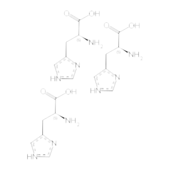 N[C@@H](Cc1c[nH]cn1)C(=O)O.N[C@@H](Cc1c[nH]cn1)C(=O)O.N[C@@H](Cc1c[nH]cn1)C(=O)O